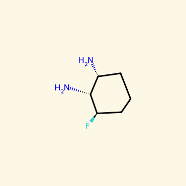 N[C@@H]1[C@H](N)CCC[C@H]1F